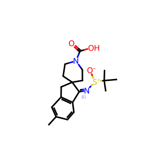 Cc1ccc2c(c1)CC1(CCN(C(=O)O)CC1)/C2=N\[S+]([O-])C(C)(C)C